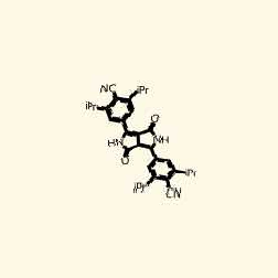 CC(C)c1cc(C2=C3C(=O)NC(c4cc(C(C)C)c(C#N)c(C(C)C)c4)=C3C(=O)N2)cc(C(C)C)c1C#N